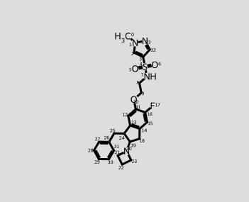 Cn1cc(S(=O)(=O)NCCOc2cc3c(cc2F)CC(N2CCC2)C3Cc2ccccc2)cn1